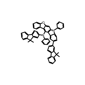 CC1(C)c2ccccc2-c2ccc(-c3ccc4c(c3)c3c(N(c5ccccc5)c5ccc6c(c5)C(C)(C)c5ccccc5-6)c5c(cc3n4-c3ccccc3)oc3ccccc35)cc21